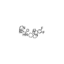 O=C(N[C@H]1CC[C@@]2(CCCN(c3cc(F)c(F)cc3Cl)C2=O)CC1)c1cnn2cccnc12